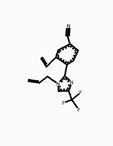 C=CCn1cc(C(F)(F)F)nc1-c1ccc(C#N)cc1C=C